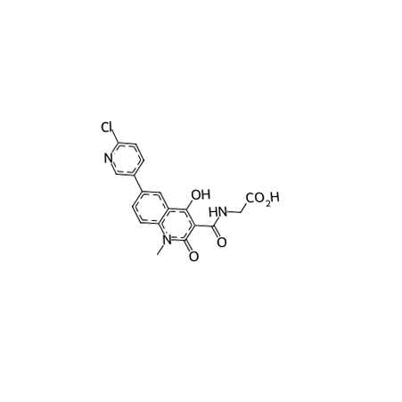 Cn1c(=O)c(C(=O)NCC(=O)O)c(O)c2cc(-c3ccc(Cl)nc3)ccc21